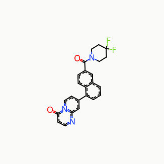 O=C(c1ccc2c(-c3ccn4c(=O)ccnc4c3)cccc2c1)N1CCC(F)(F)CC1